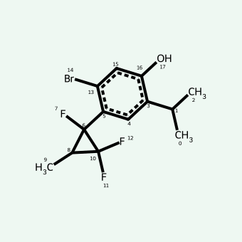 CC(C)c1cc(C2(F)C(C)C2(F)F)c(Br)cc1O